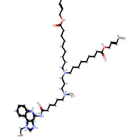 CCCCCC/C=C/COC(=O)CCCCCCCCN(CCCCCCCCC(=O)OC/C=C/CCCCCC)CCCN(C)CCCCCC(=O)Nc1nc2ccccc2c2c1ncn2CC(C)C